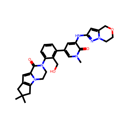 Cn1cc(-c2cccc(N3CCn4c(cc5c4CC(C)(C)C5)C3=O)c2CO)cc(Nc2cc3n(n2)CCOC3)c1=O